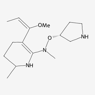 C/C=C(/OC)C1=C(N(C)O[C@@H]2CCNC2)NC(C)CC1